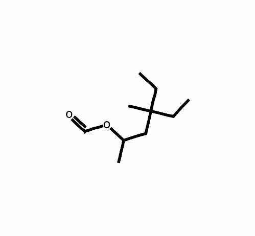 CCC(C)(CC)CC(C)O[C]=O